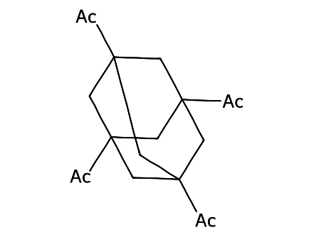 CC(=O)C12CC3(C(C)=O)CC(C(C)=O)(C1)CC(C(C)=O)(C2)C3